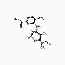 CNC(=O)c1ccc(C)c(Nc2nc(O)nc(N(C)CC(C)(C)C)c2C#N)c1